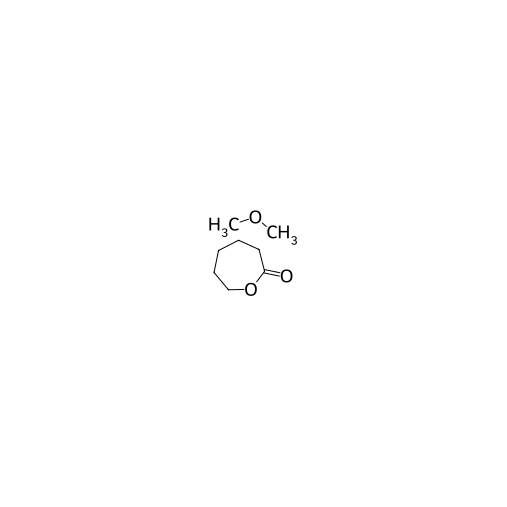 COC.O=C1CCCCCO1